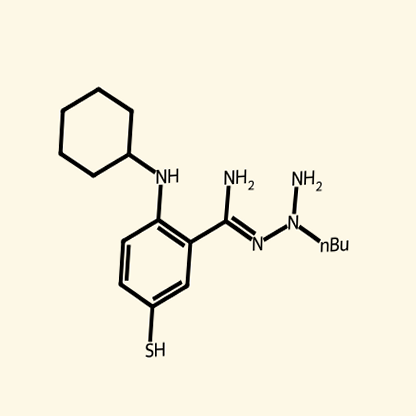 CCCCN(N)/N=C(\N)c1cc(S)ccc1NC1CCCCC1